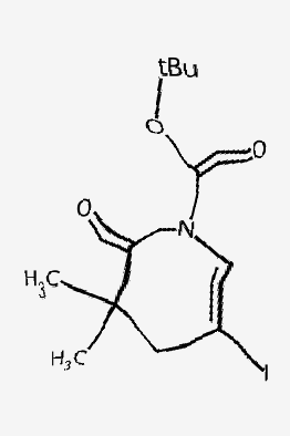 CC(C)(C)OC(=O)N1C=C(I)CC(C)(C)C1=O